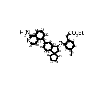 CCOC(=O)Cc1ccc(F)cc1OC1CC2(CCCC2)c2ccc(-c3cccc4c(N)nccc34)cc21